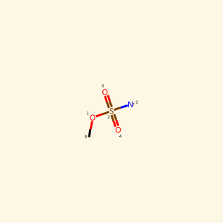 COS([N])(=O)=O